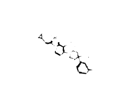 CC1(c2cccc(F)c2)CCN(c2ccn3c(CC4CC4)nnc3c2C(F)(F)F)CC1